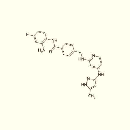 Cc1cc(Nc2ccnc(NCc3ccc(C(=O)Nc4ccc(F)cc4N)cc3)c2)n[nH]1